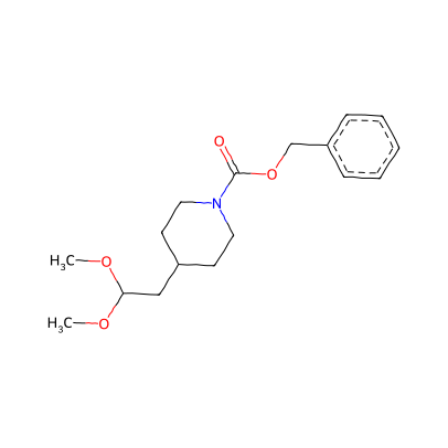 COC(CC1CCN(C(=O)OCc2ccccc2)CC1)OC